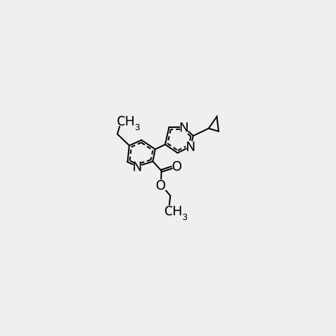 CCOC(=O)c1ncc(CC)cc1-c1cnc(C2CC2)nc1